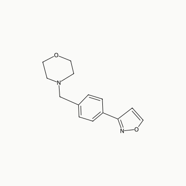 c1cc(-c2ccc(CN3CCOCC3)cc2)no1